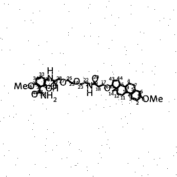 COc1ccc2c(c1)CCC1C2CCC2(C)C(OCCC(=O)NCCOCCOCC(=O)Nc3ccc(OC)c(C(N)=O)c3O)CCC12